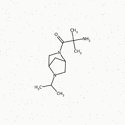 CC(C)N1CC2CC1CN2C(=O)C(C)(C)N